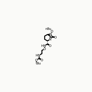 CCCCON1C(=O)N2CC1CC[C@H]2C(=O)NOCCNC(=O)OC(C)(C)C